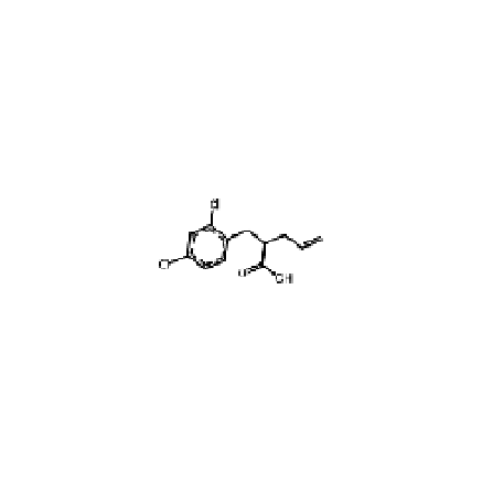 C=CCC(Cc1ccc(Cl)cc1Cl)C(=O)O